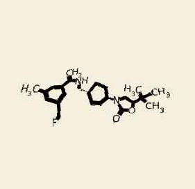 C=C(NC[C@H]1CC[C@H](N2CC(C(C)(C)C)OC2=O)CC1)c1cc(C)cc(CF)c1